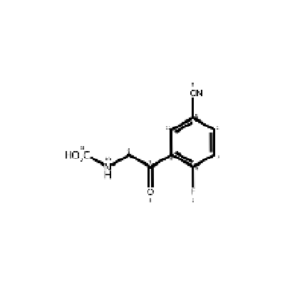 N#Cc1ccc(F)c(C(=O)CNC(=O)O)c1